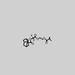 C=C(C)C(=O)OCCOC(=O)C(F)(F)OC(=O)C12CC3CC(CC(C3)C1)C2